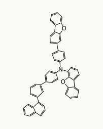 c1cc(-c2ccc(N(c3ccc(-c4ccc5c(c4)oc4ccccc45)cc3)c3cccc4c3oc3ccccc34)cc2)cc(-c2cccc3ccccc23)c1